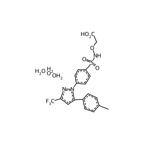 Cc1ccc(-c2cc(C(F)(F)F)nn2-c2ccc(S(=O)(=O)NOCC(=O)O)cc2)cc1.O.O.O